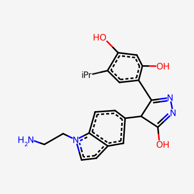 CC(C)c1cc(C2=NN=C(O)C2c2ccc3c(ccn3CCN)c2)c(O)cc1O